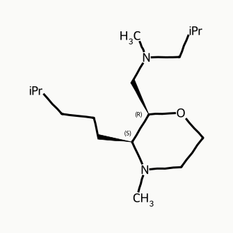 CC(C)CCC[C@H]1[C@@H](CN(C)CC(C)C)OCCN1C